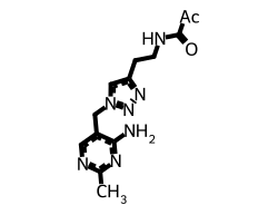 CC(=O)C(=O)NCCc1cn(Cc2cnc(C)nc2N)nn1